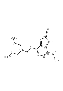 CCCN(CCC)CCc1ccc(OC)c2c1=NC(=O)N=2